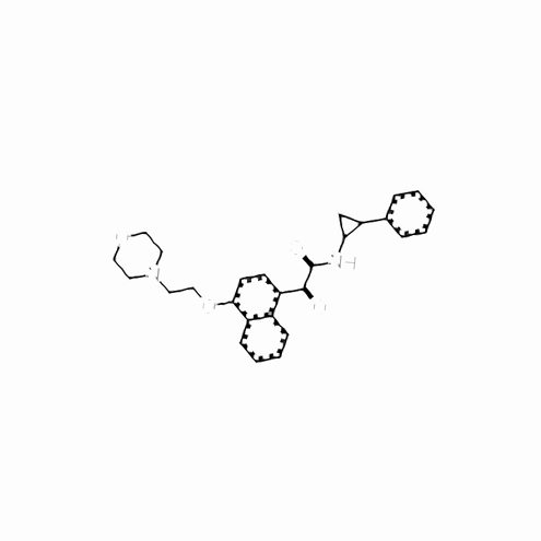 O=C(NC1CC1c1ccccc1)C(=O)c1ccc(OCCN2CCOCC2)c2ccccc12